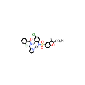 CCN(c1ccc(Cl)cc1CN(Cc1cccn1C)C(=O)c1ccccc1Cl)S(=O)(=O)c1ccc2oc(C(=O)O)c(C)c2c1